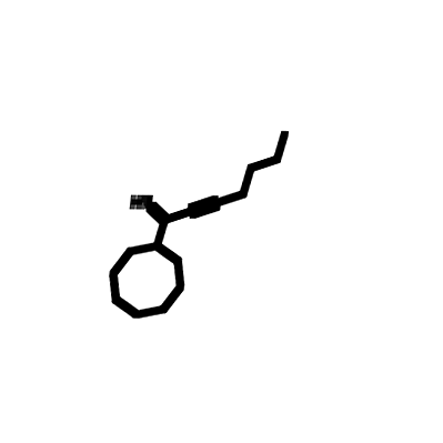 CCCCC#CC(=N)C1CCCCCCC1